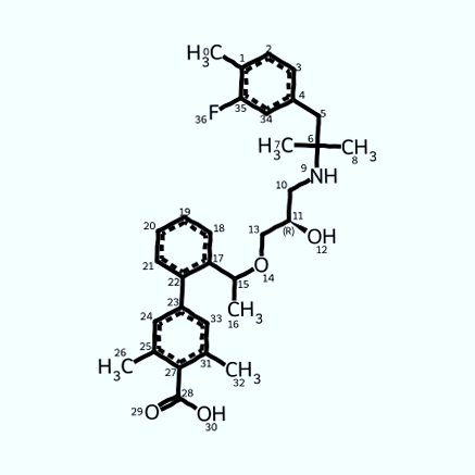 Cc1ccc(CC(C)(C)NC[C@@H](O)COC(C)c2ccccc2-c2cc(C)c(C(=O)O)c(C)c2)cc1F